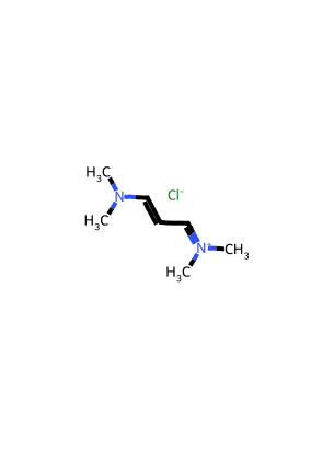 CN(C)C=CC=[N+](C)C.[Cl-]